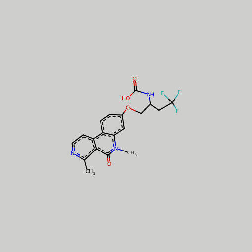 Cc1nccc2c1c(=O)n(C)c1cc(OCC(CC(F)(F)F)NC(=O)O)ccc21